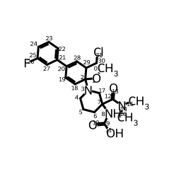 COC1(N2CCCC(NC(=O)O)(C(=O)N(C)C)C2)C=CC(c2cccc(F)c2)=CC1CCl